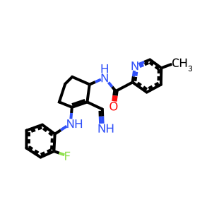 Cc1ccc(C(=O)NC2CCCC(Nc3ccccc3F)=C2C=N)nc1